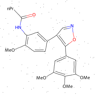 CCCC(=O)Nc1cc(-c2cnoc2-c2cc(OC)c(OC)c(OC)c2)ccc1OC